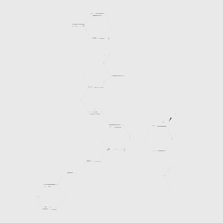 C/C=C/[C@@H]1O[C@H](C(/C=C/C=C(\C)CC(C)/C=C(C)\C=C\[C@H]2CC=CC(=O)O2)NC(=O)CCSSc2ccccn2)C[C@@H](O)[C@@H]1C